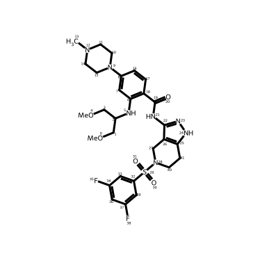 COCC(COC)Nc1cc(N2CCN(C)CC2)ccc1C(=O)Nc1n[nH]c2c1CN(S(=O)(=O)c1cc(F)cc(F)c1)CC2